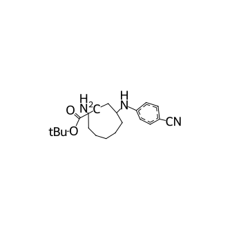 CC(C)(C)OC(=O)C1(N)CCCCCC(Nc2ccc(C#N)cc2)CC1